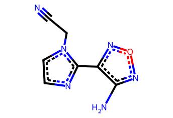 N#CCn1ccnc1-c1nonc1N